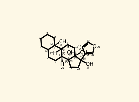 C[C@]12CCCCC1CC[C@@H]1[C@H]2CC[C@]2(C)C(O)(c3ccoc3)CC[C@@]12O